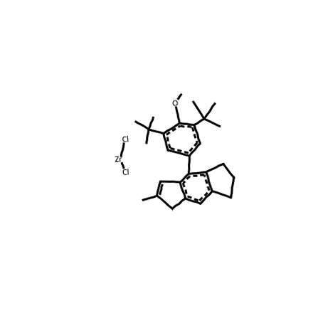 COc1c(C(C)(C)C)cc(-c2c3c(cc4c2CCC4)[CH]C(C)=C3)cc1C(C)(C)C.[Cl][Zr][Cl]